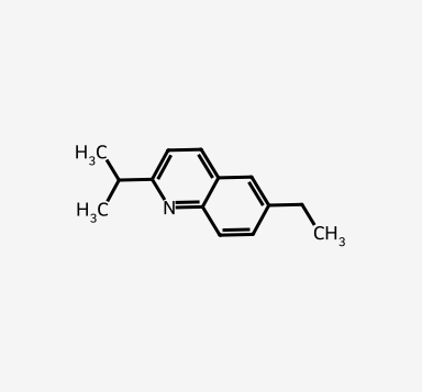 CCc1ccc2nc(C(C)C)ccc2c1